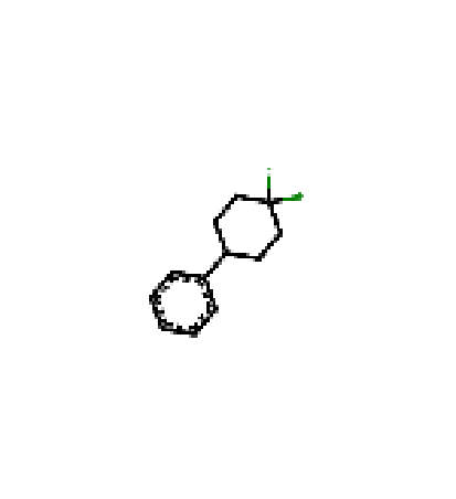 FC1(F)CCC(c2cc[c]cc2)CC1